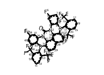 O=C1N2c3cc(F)ccc3B(c3c(C(F)(F)F)cccc3C(F)(F)F)c3ccc4ccc5c(c4c32)N1c1cc(F)ccc1B5c1c(C(F)(F)F)cccc1C(F)(F)F